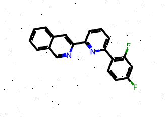 Fc1ccc(-c2cccc(-c3cc4ccccc4cn3)n2)c(F)c1